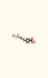 CCCCCCc1ccc(C(=O)C=O)cc1